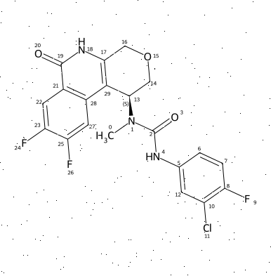 CN(C(=O)Nc1ccc(F)c(Cl)c1)[C@@H]1COCc2[nH]c(=O)c3cc(F)c(F)cc3c21